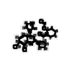 O=COC1CCCCN1C(=O)[C@@H]1CCCN1c1cc(-n2ccnc2)c2ccc(Cl)c(Cl)c2n1